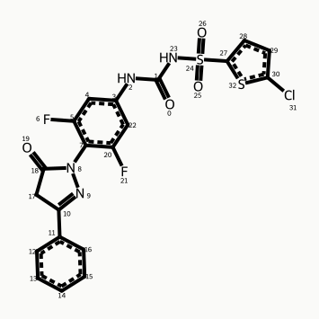 O=C(Nc1cc(F)c(N2N=C(c3ccccc3)CC2=O)c(F)c1)NS(=O)(=O)c1ccc(Cl)s1